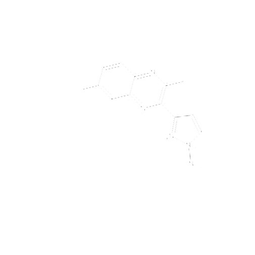 Cc1ccc2nc(C)c(-c3ccn(N)n3)nc2c1